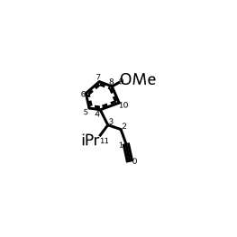 C#CCC(c1cccc(OC)c1)C(C)C